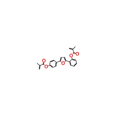 C=C(C)C(=O)Oc1ccc(-c2ccc(-c3ccccc3OC(=O)C(=C)C)o2)cc1